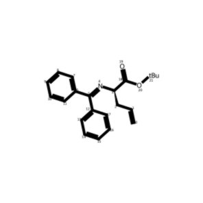 C=CC[C@@H](N=C(c1ccccc1)c1ccccc1)C(=O)OC(C)(C)C